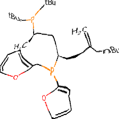 C=C(CCCC)C[C@H](C[C@@H](C)P(C(C)(C)C)C(C)(C)C)P(c1ccco1)c1ccco1